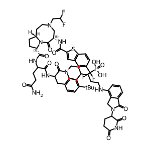 CC(C)(C)c1ccc(CC(NC(=O)C(CCC(N)=O)NC(=O)[C@@H]2CC[C@@H]3CCN(CC(F)F)C[C@H](NC(=O)c4cc5cc(C(F)(F)P(=O)(O)O)ccc5s4)C(=O)N32)C(=O)N2CCC(CCCNc3cccc4c3CN(C3CCC(=O)NC3=O)C4=O)CC2)cc1